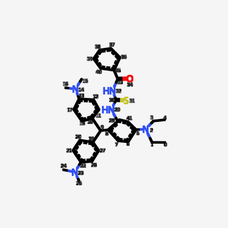 CCN(CC)c1ccc(C(c2ccc(N(C)C)cc2)c2ccc(N(C)C)cc2)c(NC(=S)NC(=O)c2ccccc2)c1